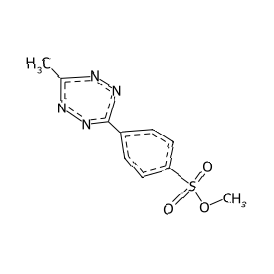 COS(=O)(=O)c1ccc(-c2nnc(C)nn2)cc1